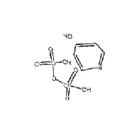 Cl.[O]=[Cr](=[O])([OH])[O][Cr](=[O])(=[O])[OH].c1ccncc1